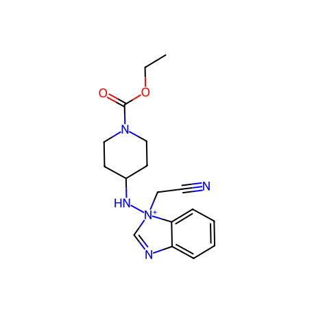 CCOC(=O)N1CCC(N[N+]2(CC#N)C=Nc3ccccc32)CC1